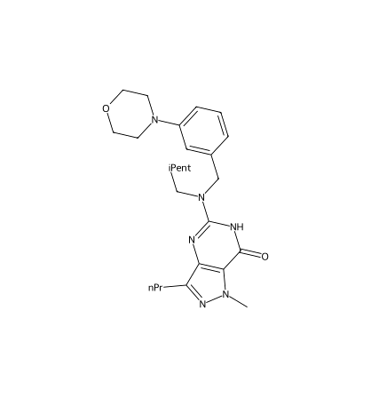 CCCc1nn(C)c2c(=O)[nH]c(N(Cc3cccc(N4CCOCC4)c3)CC(C)CCC)nc12